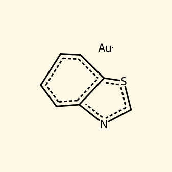 [Au].c1ccc2scnc2c1